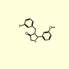 COc1cccc(C2SCC(=O)N2Cc2cccc(F)c2)c1